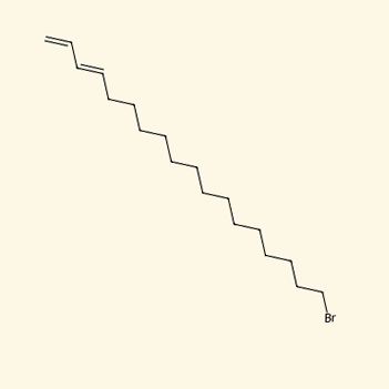 C=CC=CCCCCCCCCCCCCCCBr